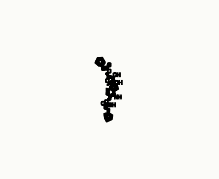 C[C@@]1(c2ccc3c(=N)n(COP(=O)(O)OCc4ccccc4)cnn23)O[C@H](CO[PH](=O)Oc2ccccc2)[C@@H](O)[C@H]1O